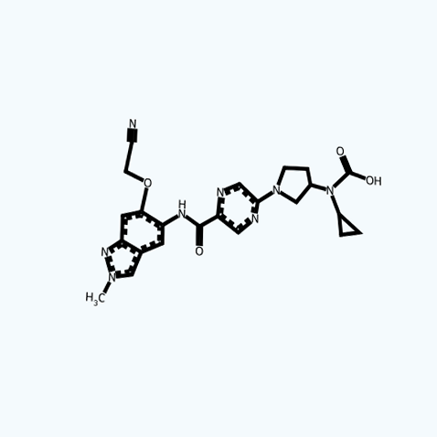 Cn1cc2cc(NC(=O)c3cnc(N4CCC(N(C(=O)O)C5CC5)C4)cn3)c(OCC#N)cc2n1